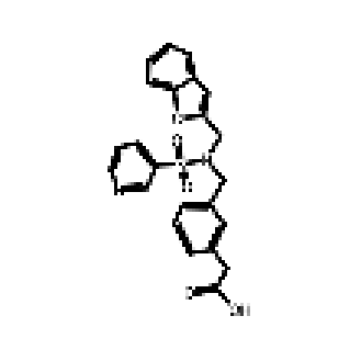 O=C(O)Cc1cccc(CN(Cc2cc3ccccc3o2)S(=O)(=O)c2cccnc2)c1